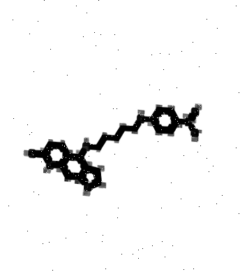 O=c1ccc2c(OCCCCCOc3ccc([N+](=O)[O-])cc3)c3ccoc3cc2o1